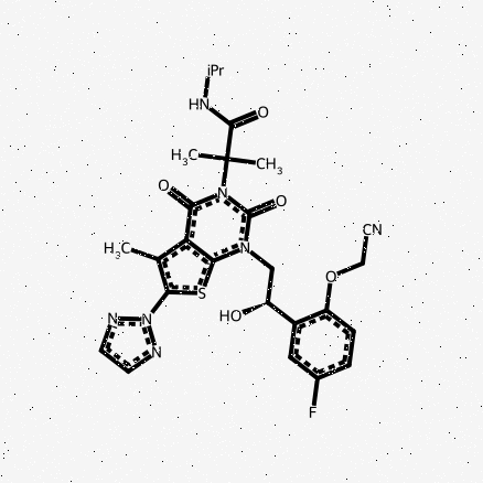 Cc1c(-n2nccn2)sc2c1c(=O)n(C(C)(C)C(=O)NC(C)C)c(=O)n2C[C@H](O)c1cc(F)ccc1OCC#N